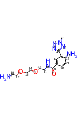 Cn1nnc(-c2cc(C(=O)NCCOCCOCCN)ccc2N)n1